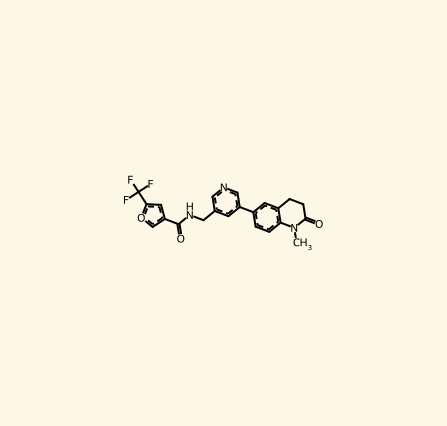 CN1C(=O)CCc2cc(-c3cncc(CNC(=O)c4coc(C(F)(F)F)c4)c3)ccc21